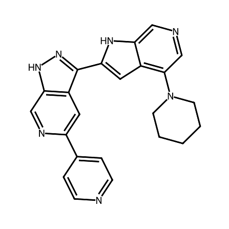 c1cc(-c2cc3c(-c4cc5c(N6CCCCC6)cncc5[nH]4)n[nH]c3cn2)ccn1